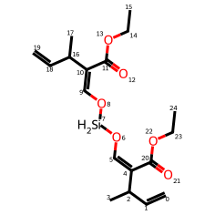 C=CC(C)C(=CO[SiH2]OC=C(C(=O)OCC)C(C)C=C)C(=O)OCC